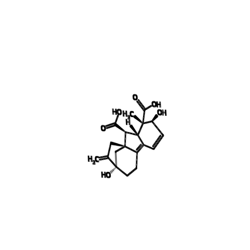 C=C1C[C@]23C[C@@]1(O)CCC2=C1C=C[C@H](O)[C@@](C)(C(=O)O)[C@H]1[C@@H]3C(=O)O